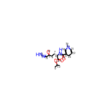 CC(C)OC(=O)[C@H](CCC(=O)C=[N+]=N)NC(=O)C1=CN(C)C=CC1